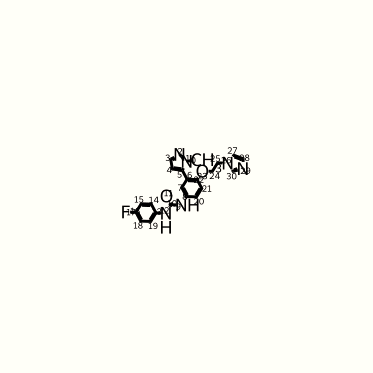 Cn1nccc1-c1cc(NC(=O)Nc2ccc(F)cc2)ccc1OCCn1ccnc1